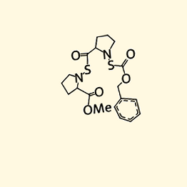 COC(=O)C1CCCN1SC(=O)C1CCCN1SC(=O)OCc1ccccc1